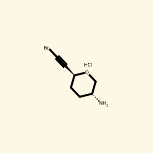 Cl.N[C@@H]1CC[C@@H](C#CBr)OC1